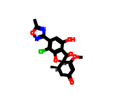 COC1=CC(=O)C[C@@H](C)[C@]12Oc1c(Cl)c(-c3noc(C)n3)cc(O)c1C2=O